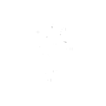 CC(C)C1(C)CCCC(CC(=O)OC2O[C@H](CO)[C@H](O)[C@H](O)[C@H]2O)C1